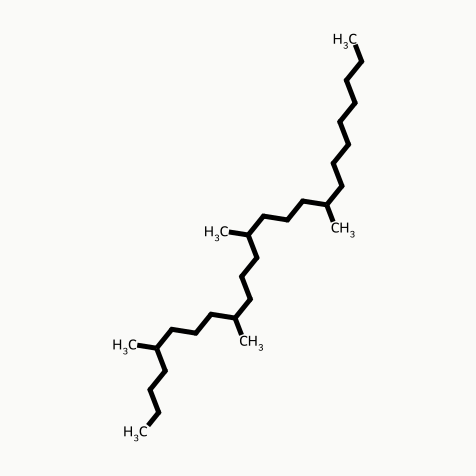 CCCCCCCCC(C)CCCC(C)CCCC(C)CCCC(C)CCCC